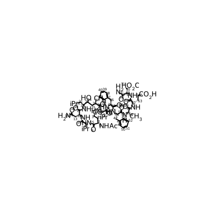 CC(=O)N[C@@H](CCC(=O)O)C(=O)N[C@H](C(=O)N[C@@H](CC(N)=O)C(=O)N[C@@H](CC(C)C)[C@@H](O)C[C@@H](C)C(=O)N[C@H](C(=O)N[C@@H](Cc1ccccc1)C(=O)N[C@@H](Cc1ccccc1)C(=O)N[C@@H](C)C(=O)N[C@@H](CCC(=O)O)C(=O)N[C@@H](CC(=O)O)C(N)=O)C(C)C)C(C)C